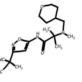 CN(CC1CCOCC1)C(C)(C)C(=O)Nc1cc(C(C)(C)C#N)no1